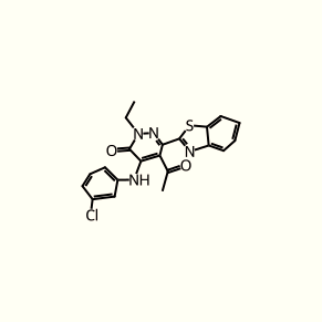 CCn1nc(-c2nc3ccccc3s2)c(C(C)=O)c(Nc2cccc(Cl)c2)c1=O